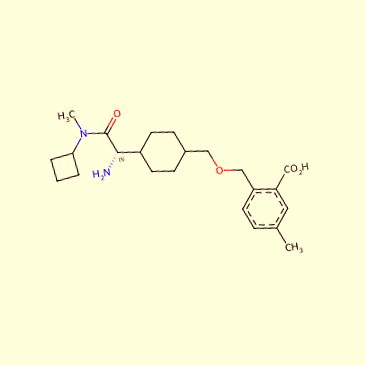 Cc1ccc(COCC2CCC([C@H](N)C(=O)N(C)C3CCC3)CC2)c(C(=O)O)c1